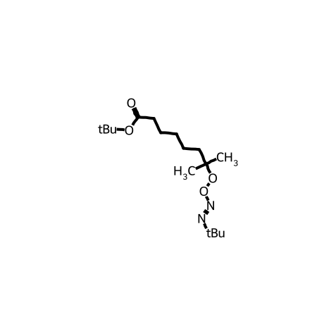 CC(C)(C)N=NOOC(C)(C)CCCCCC(=O)OC(C)(C)C